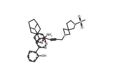 CS(=O)(=O)N1CCC2(CN(CC#Cc3cc(N4C5CCC4CN(c4cc(-c6ccccc6O)nnc4N)C5)ccn3)C2)C1